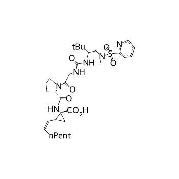 CCCCC/C=C\C1C[C@]1(NC(=O)[C@@H]1CCCN1C(=O)CNC(=O)NC(CN(C)S(=O)(=O)c1ccccn1)C(C)(C)C)C(=O)O